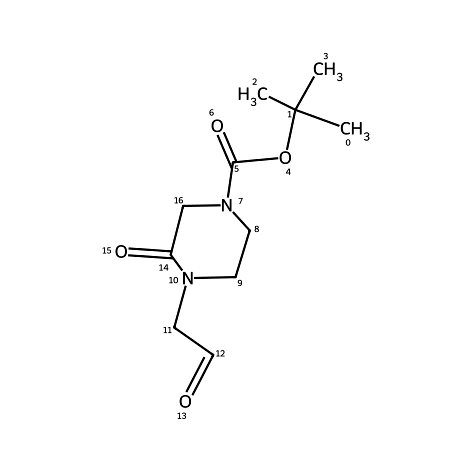 CC(C)(C)OC(=O)N1CCN(CC=O)C(=O)C1